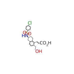 O=C(O)/C=C/c1c(CCO)ccc2c1CCC(NS(=O)(=O)c1ccc(Cl)cc1)C2